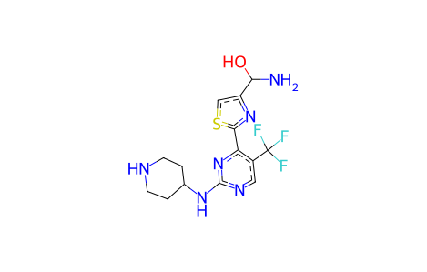 NC(O)c1csc(-c2nc(NC3CCNCC3)ncc2C(F)(F)F)n1